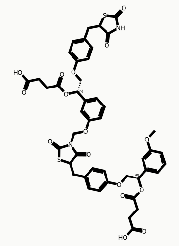 COc1cccc([C@H](COc2ccc(CC3SC(=O)N(COc4cccc([C@@H](COc5ccc(CC6SC(=O)NC6=O)cc5)OC(=O)CCC(=O)O)c4)C3=O)cc2)OC(=O)CCC(=O)O)c1